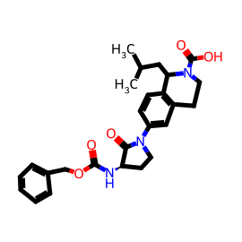 CC(C)CC1c2ccc(N3CC[C@H](NC(=O)OCc4ccccc4)C3=O)cc2CCN1C(=O)O